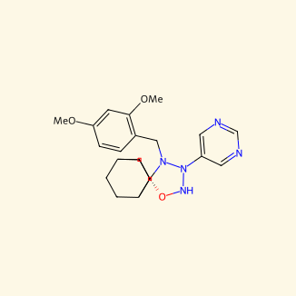 COc1ccc(CN2N(c3cncnc3)NO[C@]23CC2CCC3CC2)c(OC)c1